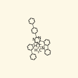 C[Si]1(C)c2ccccc2-c2cccc(-c3nc(-c4ccc(-c5ccccc5)cc4)nc(-c4cccc(-c5ccccc5)c4)n3)c21